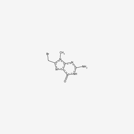 Cn1c(CBr)nc2c(=O)[nH]c(N)nc21